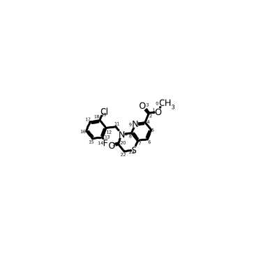 COC(=O)c1ccc2c(n1)N(Cc1c(F)cccc1Cl)C(=O)CS2